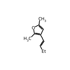 CC/C=C/c1cc(C)oc1C